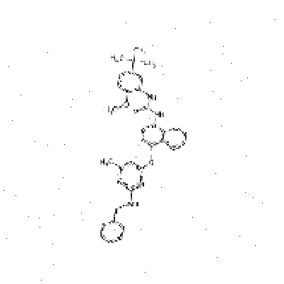 COc1ccc(C(C)(C)C)cc1NC(=O)Nc1ccc(Oc2cc(C)nc(NCc3ccccc3)n2)c2ccccc12